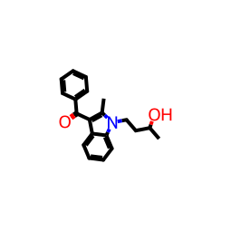 Cc1c(C(=O)c2ccccc2)c2ccccc2n1CCC(C)O